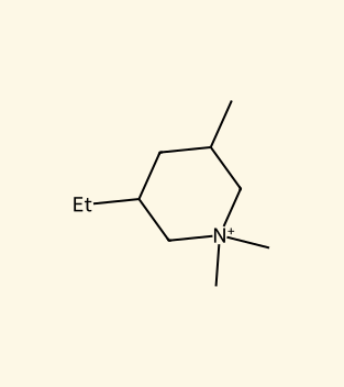 CCC1CC(C)C[N+](C)(C)C1